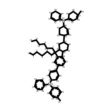 CCCCCCC1(CCCCCC)c2cc(C3=CCC(N(c4ccccc4)c4ccc(C)cc4)C=C3)ccc2C2CCC(C3C=CC(N(C4=CCCC=C4)C4=CC=C(C)CC4)CC3)CC21